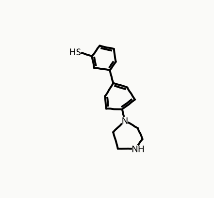 Sc1cccc(-c2ccc(N3CCNCC3)cc2)c1